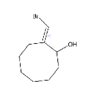 OC1CCCCCC/C1=C\Br